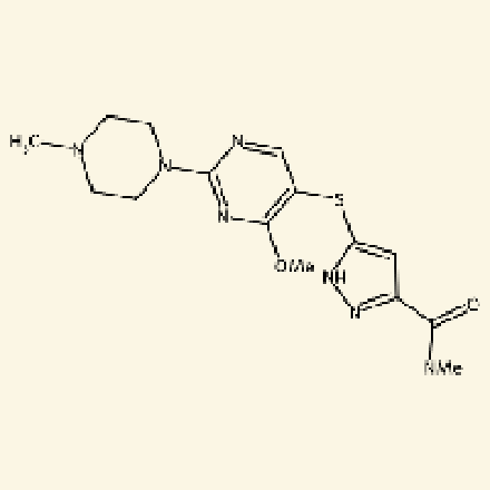 CNC(=O)c1cc(Sc2cnc(N3CCN(C)CC3)nc2OC)[nH]n1